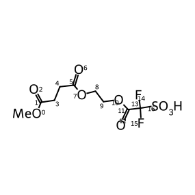 COC(=O)CCC(=O)OCCOC(=O)C(F)(F)S(=O)(=O)O